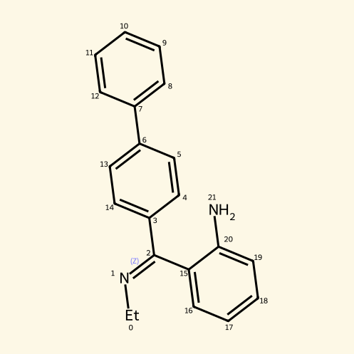 CC/N=C(/c1ccc(-c2ccccc2)cc1)c1ccccc1N